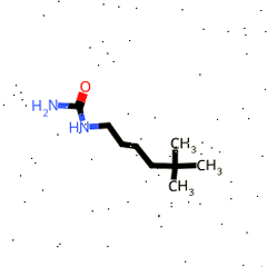 CC(C)(C)CCCCNC(N)=O